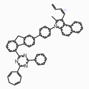 C=C/C=C\c1c(C)n(-c2ccc(-c3ccc4c(c3)Cc3cccc(-c5nc(C6=CC=CCC=C6)nc(-c6ccccc6)n5)c3-4)cc2)c2ccc3ccccc3c12